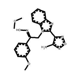 COC.COc1cccc(C(Cn2c(-c3nonc3N)nc3ccccc32)=NO)c1